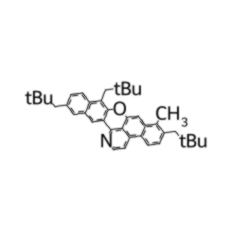 Cc1c(CC(C)(C)C)ccc2c1cc1c3c(nccc32)-c2cc3cc(CC(C)(C)C)ccc3c(CC(C)(C)C)c2O1